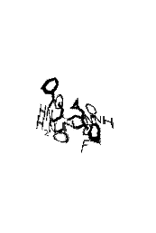 NC(=O)N1CC(=O)C(CC2CC2)(n2c(=O)[nH]c3ccc(F)cc32)C[C@H]1C1CNCC(c2ccccc2)OC1